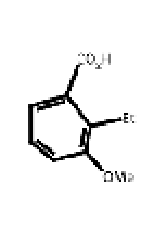 CCc1c(OC)cccc1C(=O)O